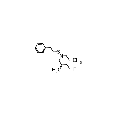 C=C(CCF)CN(CCC)SCCc1ccccc1